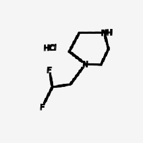 Cl.FC(F)CN1CCNCC1